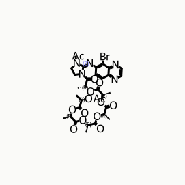 CC(=O)O[C@H](C)C(=O)O[C@H](C)C(=O)O[C@H](C)C(=O)O[C@H](C)C(=O)O[C@H](C)C(=O)O[C@H](C)C(=O)N1CCN(C(C)=O)/C1=N/c1ccc2nccnc2c1Br